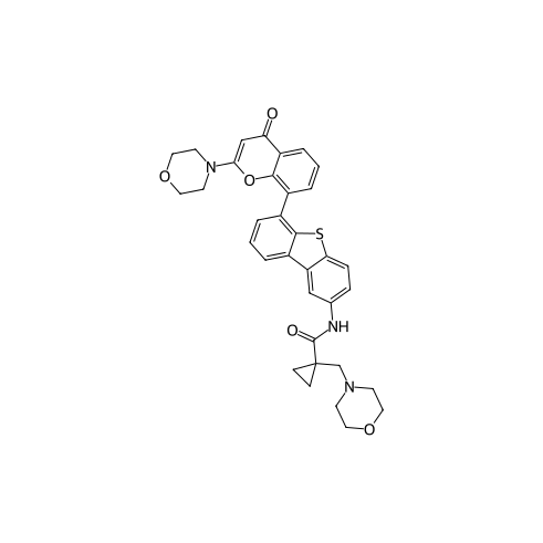 O=C(Nc1ccc2sc3c(-c4cccc5c(=O)cc(N6CCOCC6)oc45)cccc3c2c1)C1(CN2CCOCC2)CC1